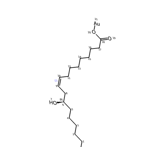 CCCCCC[C@@H](O)C/C=C\CCCCCCCC(=O)[O][Au]